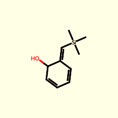 C[Si](C)(C)C=C1C=CC=CC1O